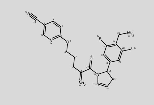 C=C(CCCOc1ccc(C#N)cn1)C(=O)N1N=CCC1c1cc(F)c(CN)c(F)c1